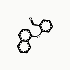 O=Cc1ccccc1Oc1cccc2ccccc12